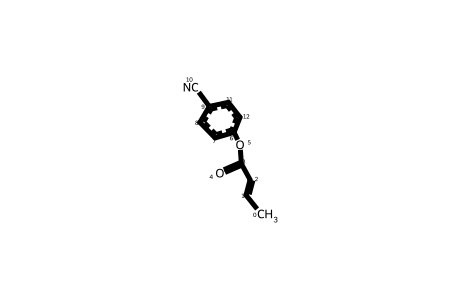 CC=CC(=O)Oc1ccc(C#N)cc1